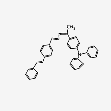 CC(=CC=Cc1ccc(C=Cc2ccccc2)cc1)c1ccc(N(c2ccccc2)c2ccccc2)cc1